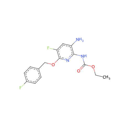 CCOC(=O)Nc1nc(OCc2ccc(F)cc2)c(F)cc1N